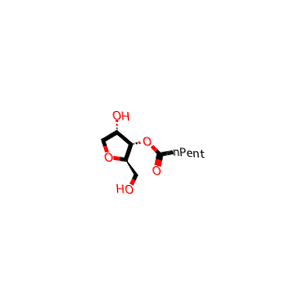 CCCCCC(=O)O[C@H]1[C@@H](O)CO[C@@H]1CO